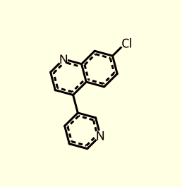 Clc1ccc2c(-c3cccnc3)ccnc2c1